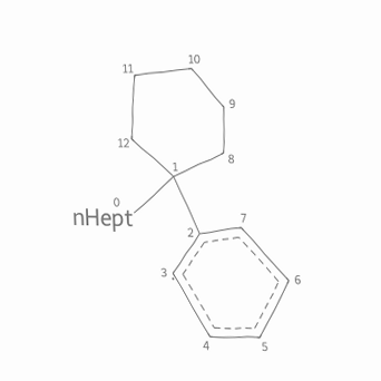 CCCCCCCC1(c2[c]cccc2)CCCCC1